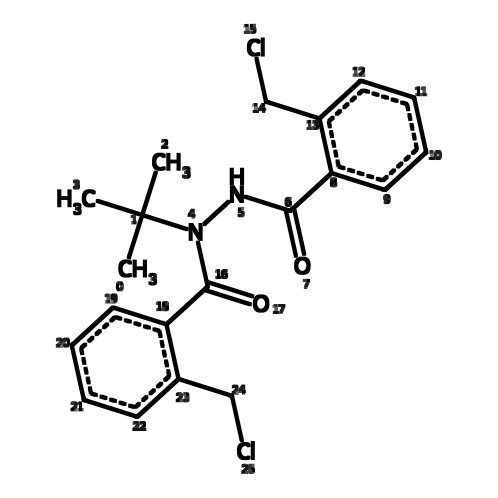 CC(C)(C)N(NC(=O)c1ccccc1CCl)C(=O)c1ccccc1CCl